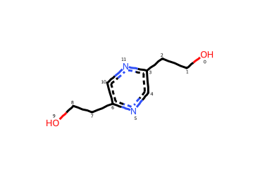 OCCc1cnc(CCO)cn1